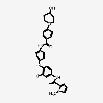 Cn1cccc1C(=O)Nc1ccc(Nc2ccc(NC(=O)c3ccc(N4CCC(O)CC4)cc3)cc2)c(Cl)c1